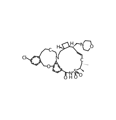 C[C@@H]1[C@@H](C)C/C=C/[C@H](CN2CCOCC2)[C@@H]2CC[C@H]2CN2CCCCc3cc(Cl)ccc3COc3ccc(cc32)C(=O)NS1(=O)=O